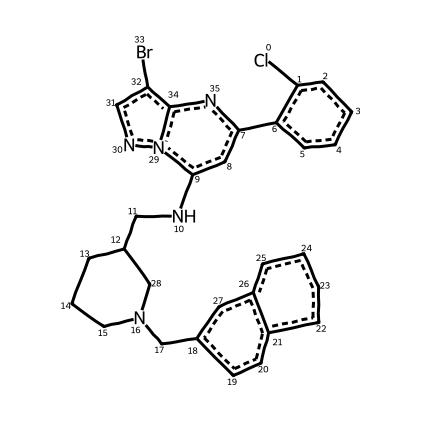 Clc1ccccc1-c1cc(NCC2CCCN(Cc3ccc4ccccc4c3)C2)n2ncc(Br)c2n1